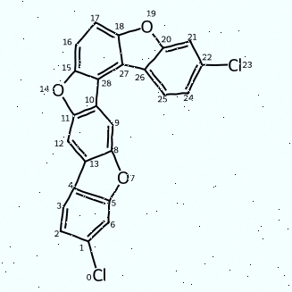 Clc1ccc2c(c1)oc1cc3c(cc12)oc1ccc2oc4cc(Cl)ccc4c2c13